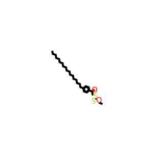 CCCCCCCCCCCCCCCCCCc1ccc(C(=O)CSC(=S)OCC)cc1